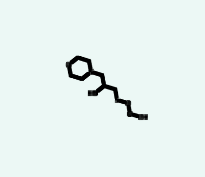 OOOSCC(O)CN1CCOCC1